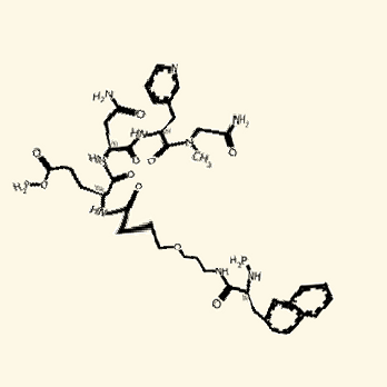 CN(CC(N)=O)C(=O)[C@H](Cc1cccnc1)NC(=O)[C@H](CC(N)=O)NC(=O)[C@H](CCC(=O)OP)NC(=O)CCCOCCCNC(=O)[C@H](Cc1ccc2ccccc2c1)NP